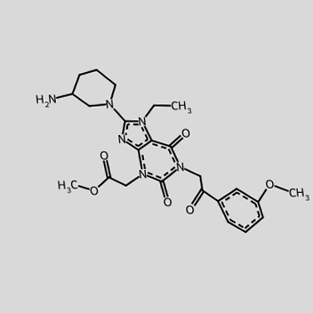 CCn1c(N2CCCC(N)C2)nc2c1c(=O)n(CC(=O)c1cccc(OC)c1)c(=O)n2CC(=O)OC